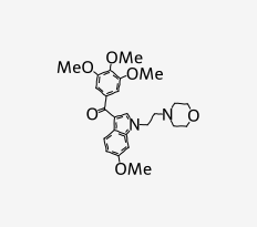 COc1ccc2c(C(=O)c3cc(OC)c(OC)c(OC)c3)cn(CCN3CCOCC3)c2c1